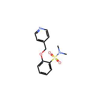 CN(C)S(=O)(=O)c1ccccc1OCc1ccncc1